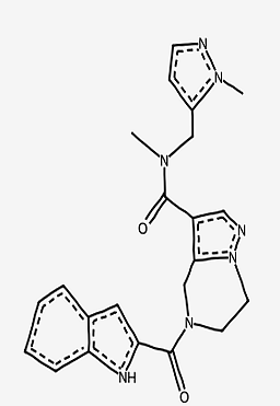 CN(Cc1ccnn1C)C(=O)c1cnn2c1CN(C(=O)c1cc3ccccc3[nH]1)CC2